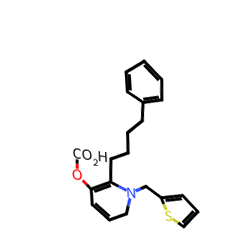 O=C(O)OC1=C(CCCCc2ccccc2)N(Cc2cccs2)CC=C1